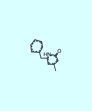 Cc1cc(Cc2ccccc2)[nH]c(=O)c1